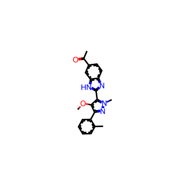 COc1c(-c2ccccc2C)nn(C)c1-c1nc2ccc(C(C)=O)cc2[nH]1